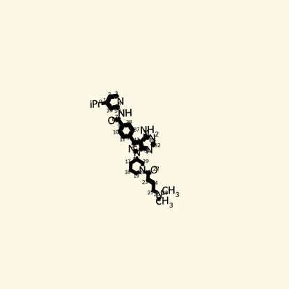 CC(C)c1ccnc(NC(=O)c2ccc(-c3nn([C@@H]4CCCN(C(=O)C=CCN(C)C)C4)c4ncnc(N)c34)cc2)c1